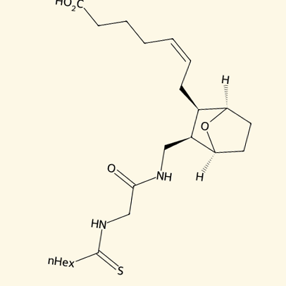 CCCCCCC(=S)NCC(=O)NC[C@H]1[C@@H](C/C=C\CCCC(=O)O)[C@H]2CC[C@@H]1O2